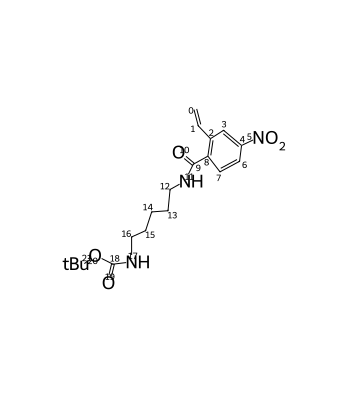 C=Cc1cc([N+](=O)[O-])ccc1C(=O)NCCCCCNC(=O)OC(C)(C)C